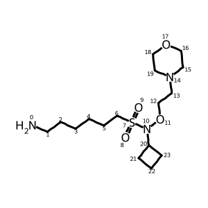 NCCCCCCS(=O)(=O)N(OCCN1CCOCC1)C1CCC1